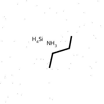 CCCC.N.[SiH4]